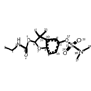 CCNC(=O)OC1Oc2ccc(OS(=O)(=O)N(C)C)cc2C1(C)C